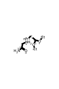 CCCC.CCOC(C)OCC.NCC(N)=O